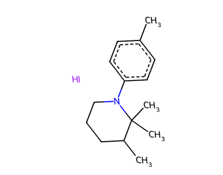 Cc1ccc(N2CCCC(C)C2(C)C)cc1.I